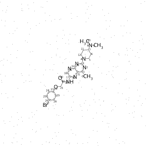 Cc1nc(N2CCC(N(C)C)CC2)nc2ncc(NC(=O)COc3ccc(Br)cc3)nc12